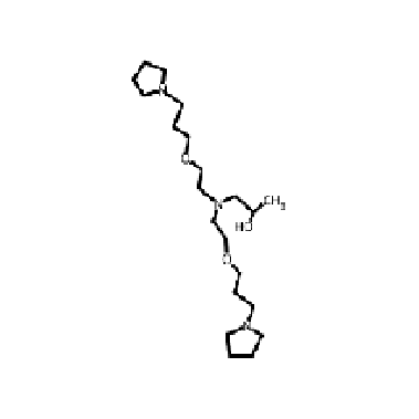 CC(O)CN(CCOCCCN1CCCC1)CCOCCCN1CCCC1